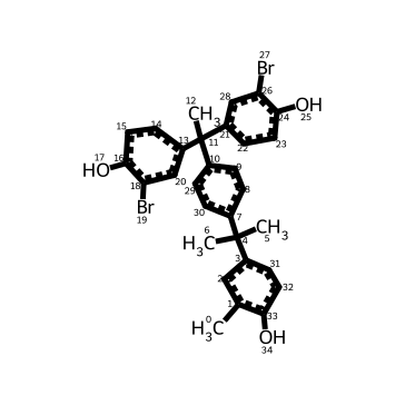 Cc1cc(C(C)(C)c2ccc(C(C)(c3ccc(O)c(Br)c3)c3ccc(O)c(Br)c3)cc2)ccc1O